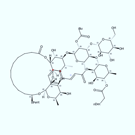 CCCCCCCCCCCC(=O)O[C@@H]1[C@@H](O)[C@@H](OC(=O)/C=C/c2ccccc2)[C@H](O[C@@H]2[C@@H](O[C@@H]3O[C@H](CO)[C@@H](O)[C@H](O)[C@H]3O)[C@@H](OC(=O)C(C)CC)[C@H](O[C@@H]3[C@@H](O)[C@H]4OC(=O)CCCCCCCCC[C@H](CCCCC)O[C@@H]5O[C@H](C)[C@H](O)[C@H](O)[C@H]5O[C@@H]4O[C@H]3C)O[C@H]2C)O[C@H]1C